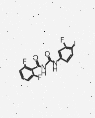 O=C(NC(=O)c1c(F)cccc1F)Nc1ccc(I)c(F)c1